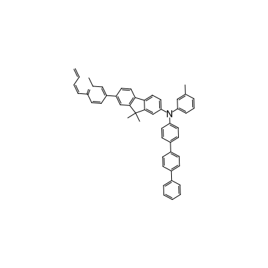 C=C/C=C\C(=C)/C=C\C(=C/CC)c1ccc2c(c1)C(C)(C)c1cc(N(c3ccc(-c4ccc(-c5ccccc5)cc4)cc3)c3cccc(C)c3)ccc1-2